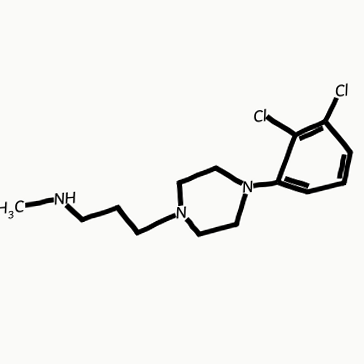 CNCCCN1CCN(c2cccc(Cl)c2Cl)CC1